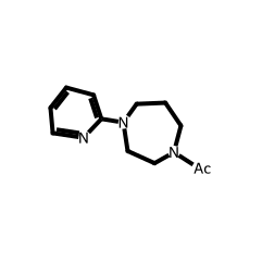 CC(=O)N1CCCN(c2ccccn2)CC1